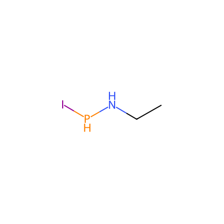 CCNPI